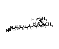 CC=C(COCCOCCOCCOCCN=[N+]=[N-])OC(C)(C)C